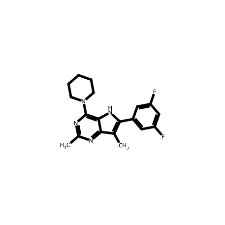 Cc1nc(N2CCCCC2)c2[nH]c(-c3cc(F)cc(F)c3)c(C)c2n1